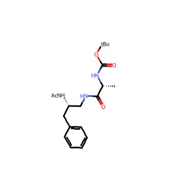 CC(=O)N[C@H](CNC(=O)[C@@H](C)NC(=O)OC(C)(C)C)Cc1ccccc1